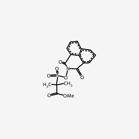 COC(=O)C(C)(C)S(=O)(=O)ON1C(=O)c2cccc3cccc(c23)C1=O